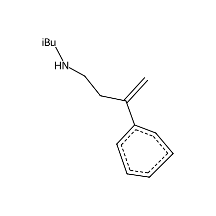 C=C(CCNC(C)CC)c1ccccc1